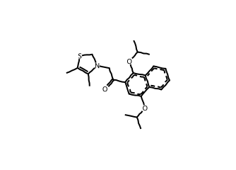 CC1=C(C)N(CC(=O)c2cc(OC(C)C)c3ccccc3c2OC(C)C)CS1